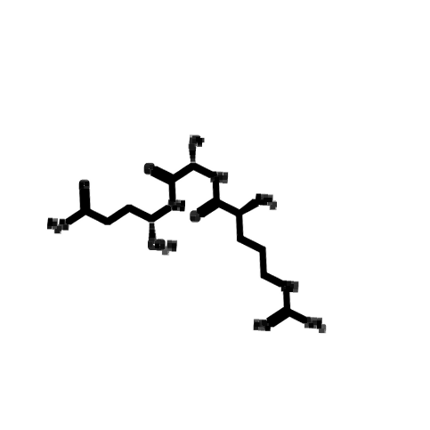 CC(C)[C@H](NC(=O)[C@@H](N)CCCNC(=N)N)C(=O)N[C@@H](CCC(N)=O)C(=O)O